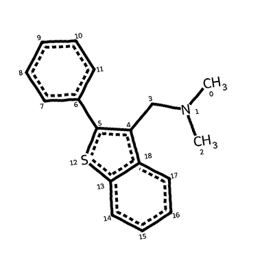 CN(C)Cc1c(-c2ccccc2)sc2ccccc12